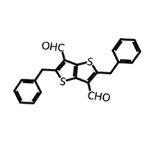 O=Cc1c(Cc2ccccc2)sc2c(C=O)c(Cc3ccccc3)sc12